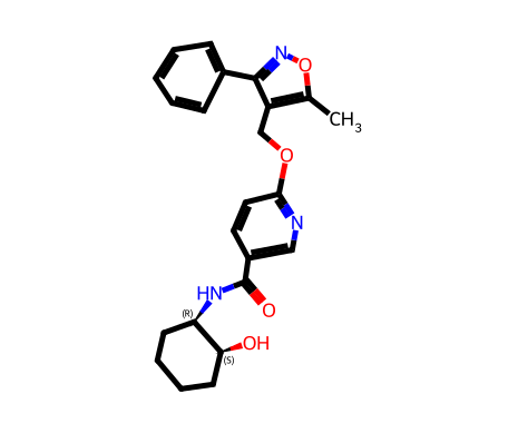 Cc1onc(-c2ccccc2)c1COc1ccc(C(=O)N[C@@H]2CCCC[C@@H]2O)cn1